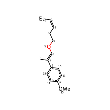 CC/C=C\CCO/C=C(\C)c1ccc(OC)cc1